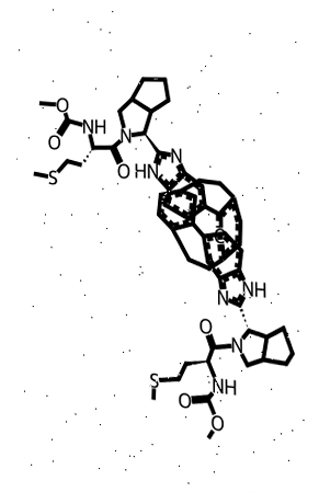 COC(=O)N[C@@H](CCSC)C(=O)N1CC2CCCC2[C@H]1c1nc2cc(-c3cc4ccc3CCc3ccc(c(-c5ccc6[nH]c([C@@H]7C8CCCC8CN7C(=O)[C@H](CCSC)NC(=O)OC)nc6c5)c3)CC4)ccc2[nH]1